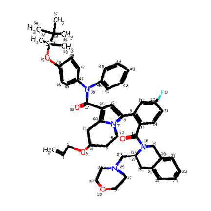 C=CCOC1CCn2c(-c3cc(F)ccc3C(=O)N3Cc4ccccc4C[C@H]3CN3CCOCC3)cc(C(=O)N(c3ccccc3)c3ccc(O[Si](C)(C)C(C)(C)C)cc3)c2C1